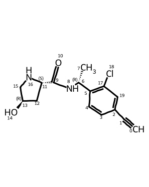 C#Cc1ccc([C@@H](C)NC(=O)[C@@H]2C[C@@H](O)CN2)c(Cl)c1